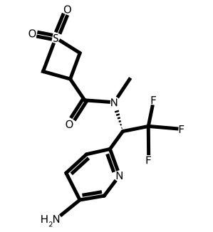 CN(C(=O)C1CS(=O)(=O)C1)[C@@H](c1ccc(N)cn1)C(F)(F)F